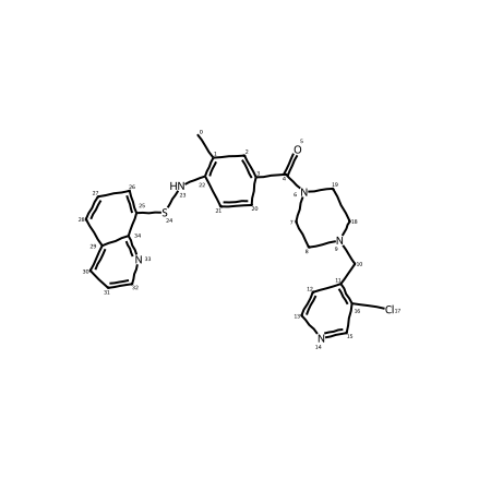 Cc1cc(C(=O)N2CCN(Cc3ccncc3Cl)CC2)ccc1NSc1cccc2cccnc12